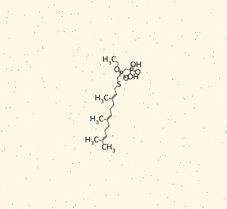 CCOP(=O)(CSC/C=C(\C)CC/C=C(\C)CCC=C(C)C)CP(=O)(O)O